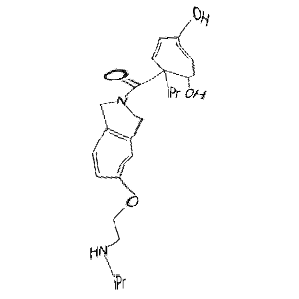 CC(C)NCCOc1ccc2c(c1)CN(C(=O)C1(C(C)C)C=CC(O)=CC1O)C2